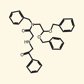 O=C(CNCC(=O)N(Cc1ccccc1)CC(OCc1ccccc1)OCc1ccccc1)c1ccccc1